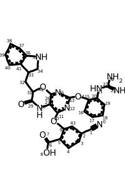 N#Cc1ccc(C(=O)O)c(Oc2nc(Oc3ccccc3NC(=N)N)nc3c2NC(=O)C(CC2CNc4ccccc42)O3)c1